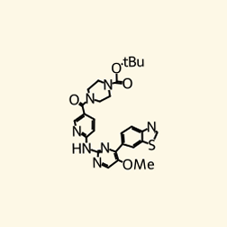 COc1cnc(Nc2ccc(C(=O)N3CCN(C(=O)OC(C)(C)C)CC3)cn2)nc1-c1ccc2ncsc2c1